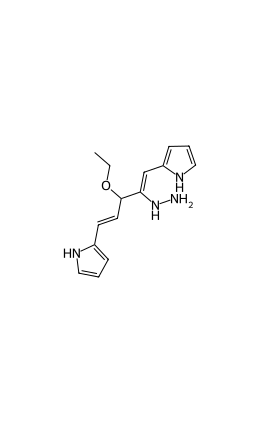 CCOC(C=Cc1ccc[nH]1)C(=Cc1ccc[nH]1)NN